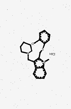 Cl.Cn1c(CSc2ccccc2Cl)c(CN2CCCCC2)c2ccccc21